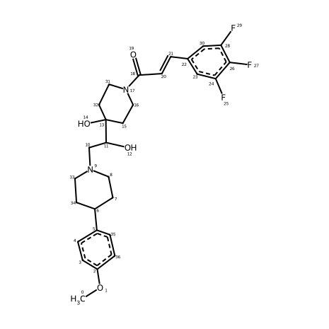 COc1ccc(C2CCN(CC(O)C3(O)CCN(C(=O)C=Cc4cc(F)c(F)c(F)c4)CC3)CC2)cc1